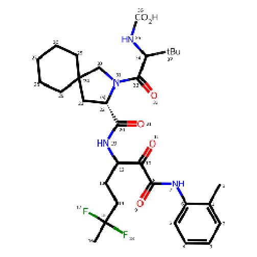 Cc1ccccc1NC(=O)C(=O)C(CCC(C)(F)F)NC(=O)[C@@H]1CC2(CCCCC2)CN1C(=O)C(NC(=O)O)C(C)(C)C